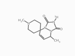 [3H]n1c(=O)n2n(c1=O)C1(C=CC2C)CCN(C)CC1